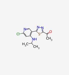 CC(=O)c1nnc(-c2cnc(Cl)cc2NC(C)C)s1